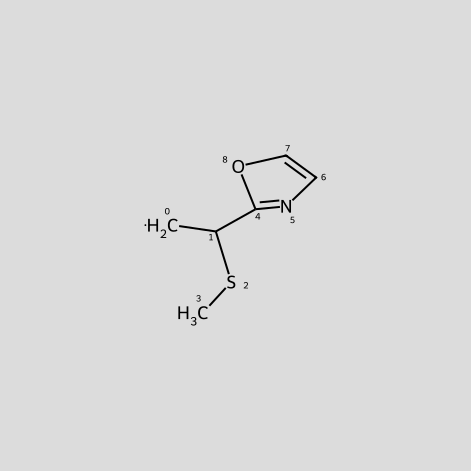 [CH2]C(SC)c1ncco1